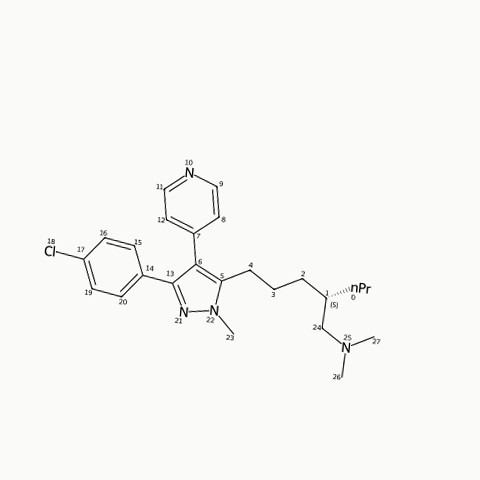 CCC[C@@H](CCCc1c(-c2ccncc2)c(-c2ccc(Cl)cc2)nn1C)CN(C)C